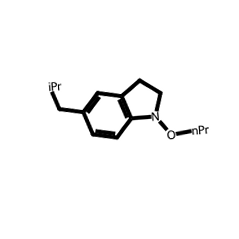 CCCON1CCc2cc(CC(C)C)ccc21